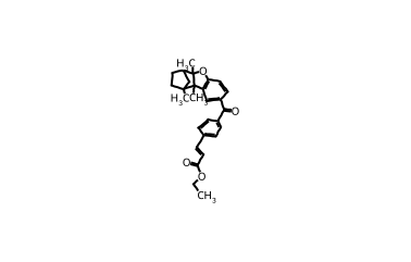 CCOC(=O)/C=C/c1ccc(C(=O)c2ccc3c(c2)C2(C)C4(C)CCC(C4)C2(C)O3)cc1